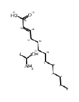 CC(N)O.CCCCCCCCCCC=CC(=O)O